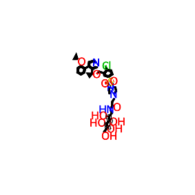 O=C(CCN1CCN(S(=O)(=O)c2ccc(Cl)c(COC3(c4cnccc4-c4ccccc4OC4CC4)CC3)c2)CC1)NC[C@H](O)[C@@H](O)[C@H](O)[C@H](O)CO